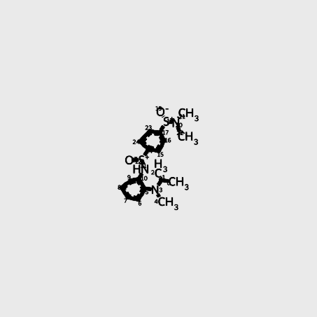 CC(C)N(C)c1ccccc1N[S+]([O-])c1ccc([S+]([O-])N(C)C)cc1